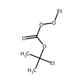 CCOOC(=O)OC(C)(C)CC